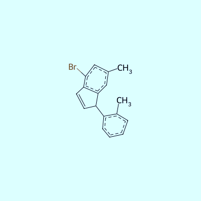 Cc1cc(Br)c2c(c1)C(c1ccccc1C)C=C2